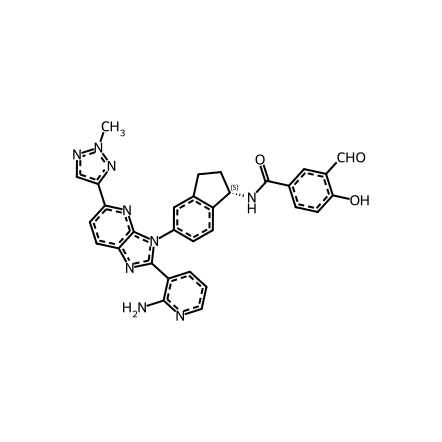 Cn1ncc(-c2ccc3nc(-c4cccnc4N)n(-c4ccc5c(c4)CC[C@@H]5NC(=O)c4ccc(O)c(C=O)c4)c3n2)n1